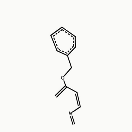 C=N/C=C\C(=C)OCc1ccccc1